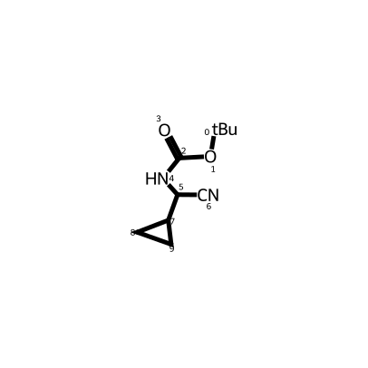 CC(C)(C)OC(=O)NC(C#N)C1CC1